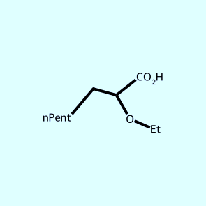 CCCCCCC(OCC)C(=O)O